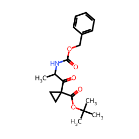 CC(NC(=O)OCc1ccccc1)C(=O)C1(C(=O)OC(C)(C)C)CC1